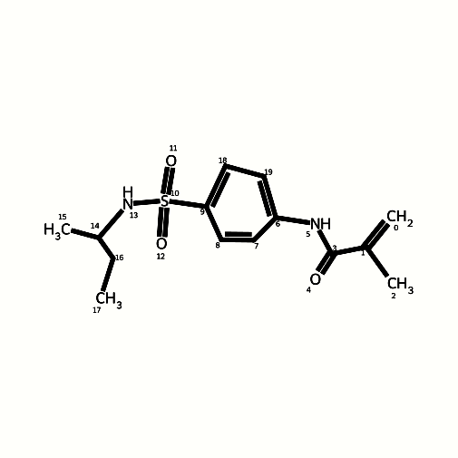 C=C(C)C(=O)Nc1ccc(S(=O)(=O)NC(C)CC)cc1